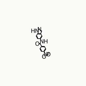 O=C(Nc1ccc2[nH]ncc2c1)c1ccc([N+](=O)[O-])cc1